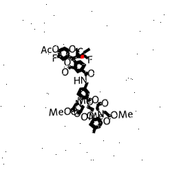 COC(=O)CN(CC(=O)OC)c1ccc(C)cc1OCCOc1cc(CNC(=O)c2ccc3c(c2)C(=O)OC32c3cc(F)c(C)cc3Oc3cc(OC(C)=O)c(F)cc32)ccc1N(CC(=O)OC)CC(=O)OC